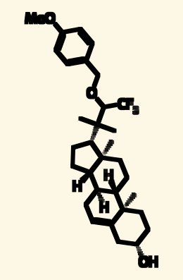 COc1ccc(COC(C(F)(F)F)C(C)(C)[C@H]2CC[C@H]3[C@@H]4CC=C5C[C@@H](O)CC[C@]5(C)[C@H]4CC[C@]23C)cc1